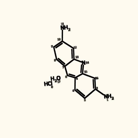 Cl.Nc1ccc2cc3ccc(N)cc3nc2c1.O